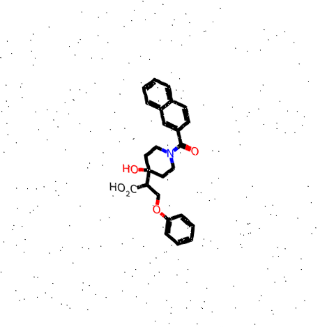 O=C(O)C(COc1ccccc1)C1(O)CCN(C(=O)c2ccc3ccccc3c2)CC1